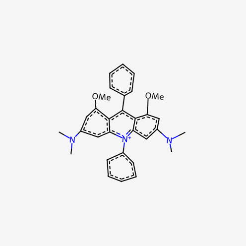 COc1cc(N(C)C)cc2c1c(-c1ccccc1)c1c(OC)cc(N(C)C)cc1[n+]2-c1ccccc1